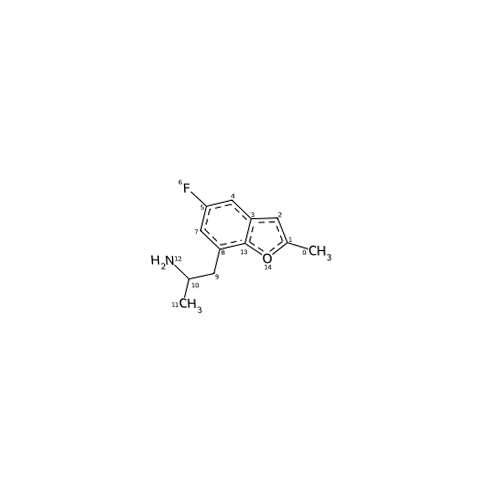 Cc1cc2cc(F)cc(CC(C)N)c2o1